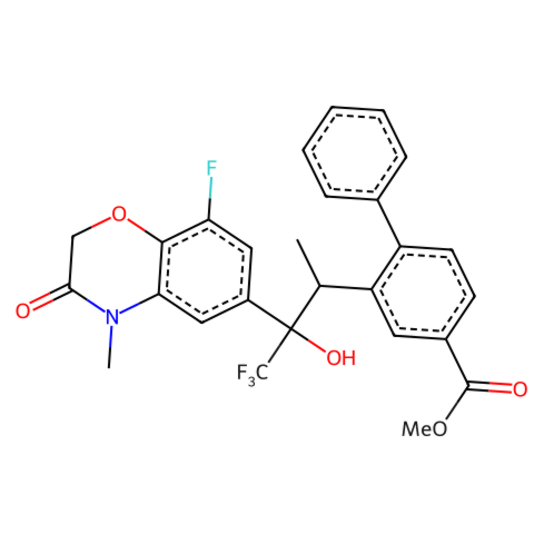 COC(=O)c1ccc(-c2ccccc2)c(C(C)C(O)(c2cc(F)c3c(c2)N(C)C(=O)CO3)C(F)(F)F)c1